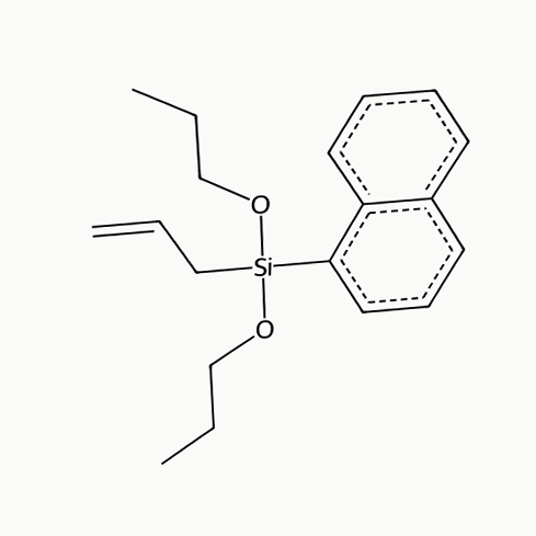 C=CC[Si](OCCC)(OCCC)c1cccc2ccccc12